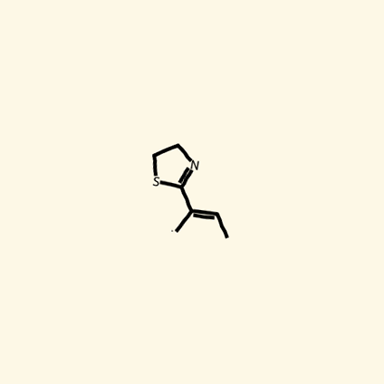 [CH2]C(=CC)C1=NCCS1